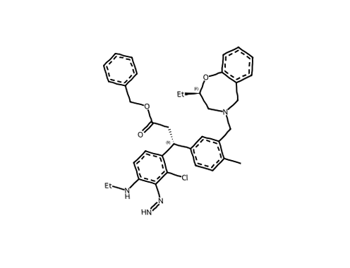 CCNc1ccc([C@H](CC(=O)OCc2ccccc2)c2ccc(C)c(CN3Cc4ccccc4O[C@H](CC)C3)c2)c(Cl)c1N=N